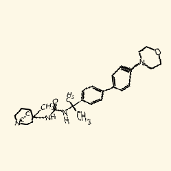 CC(C)(NC(=O)NC1(C)CCN2CCC1CC2)c1ccc(-c2ccc(N3CCOCC3)cc2)cc1